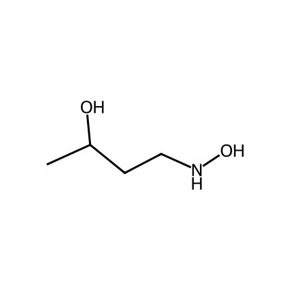 CC(O)CCNO